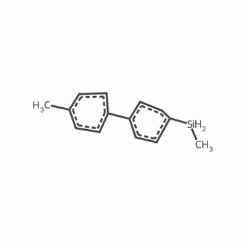 C[SiH2]c1ccc(-c2ccc(C)cc2)cc1